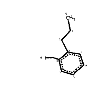 CCCc1ccc[c]c1I